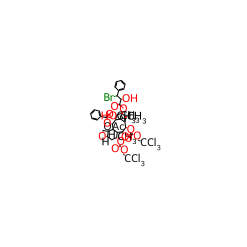 CC(=O)O[C@@]12CO[C@@H]1C[C@H](OC(=O)OCC(Cl)(Cl)Cl)[C@@]1(C)C(=O)[C@H](OC(=O)OCC(Cl)(Cl)Cl)C3=C(C)[C@@H](OC(=O)C(O)C(Br)c4ccccc4)C[C@@](O)([C@@H](OC(=O)c4ccccc4)[C@H]21)C3(C)C